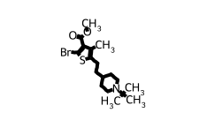 COC(=O)c1c(Br)sc(CCC2CCN(C(C)(C)C)CC2)c1C